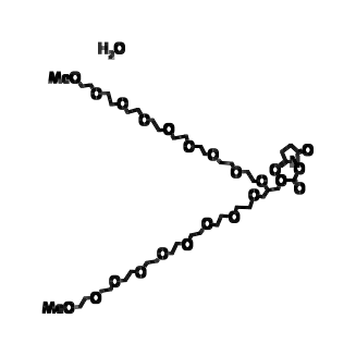 COCCOCCOCCOCCOCCOCCOCCOCCOCC(COC(=O)ON1C(=O)CCC1=O)OCCOCCOCCOCCOCCOCCOCCOCCOC.O